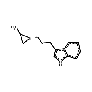 CC1C[N@@]1CCCc1c[nH]c2ccccc12